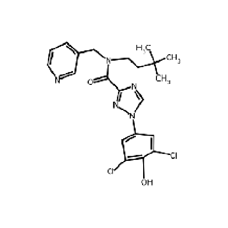 CC(C)(C)CCN(Cc1cccnc1)C(=O)c1ncn(-c2cc(Cl)c(O)c(Cl)c2)n1